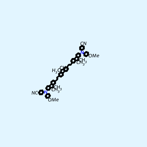 COc1ccc(N(c2ccc(C#N)cc2)c2ccc3c(c2)C(C)(C)c2cc(/C=C/c4ccc5c(c4)C(C)(C)c4cc(/C=C/c6ccc7c(c6)C(C)(C)c6cc(N(c8ccc(C#N)cc8)c8ccc(OC)cc8)ccc6-7)ccc4-5)ccc2-3)cc1